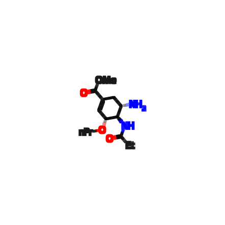 CCCO[C@@H]1C=C(C(=O)OC)C[C@H](N)[C@H]1NC(=O)CC